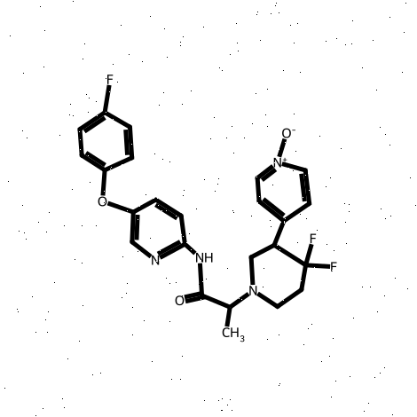 CC(C(=O)Nc1ccc(Oc2ccc(F)cc2)cn1)N1CCC(F)(F)C(c2cc[n+]([O-])cc2)C1